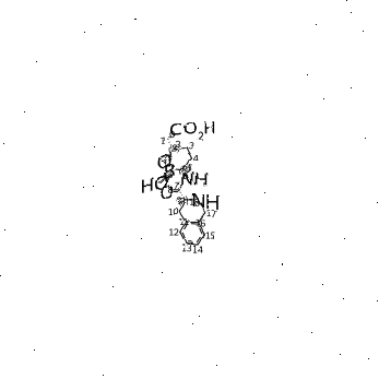 O=C(O)C[C@@H]1CC[C@H](NC(=O)[C@H]2Cc3ccccc3CN2)B(O)O1